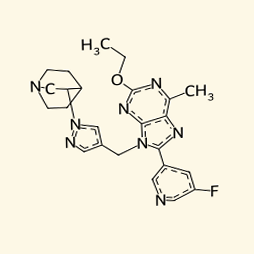 CCOc1nc(C)c2nc(-c3cncc(F)c3)n(Cc3cnn(C4CN5CCC4CC5)c3)c2n1